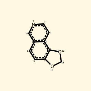 c1cc2c3c(ccc2cn1)OCO3